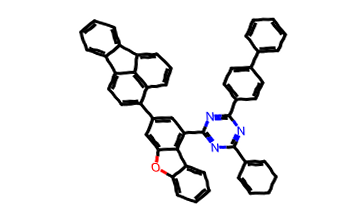 C1=CC(c2nc(-c3ccc(-c4ccccc4)cc3)nc(-c3cc(-c4ccc5c6c(cccc46)-c4ccccc4-5)cc4oc5ccccc5c34)n2)=CCC1